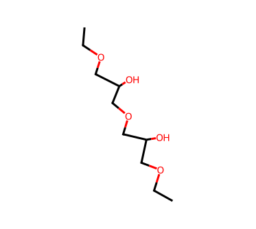 CCOCC(O)COCC(O)COCC